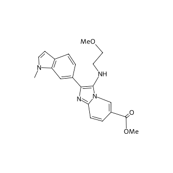 COCCNc1c(-c2ccc3ccn(C)c3c2)nc2ccc(C(=O)OC)cn12